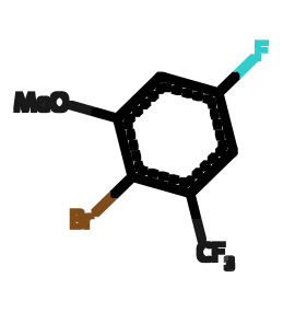 COc1cc(F)cc(C(F)(F)F)c1Br